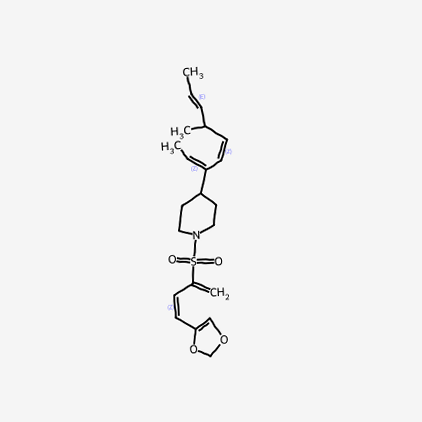 C=C(/C=C\C1=COCO1)S(=O)(=O)N1CCC(C(/C=C\C(C)/C=C/C)=C/C)CC1